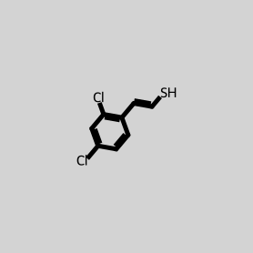 SC=Cc1ccc(Cl)cc1Cl